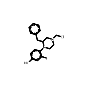 N#Cc1ccc(N2CCN(CCl)CC2Cc2ccccc2)c(F)c1